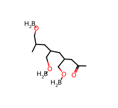 BOCC(C)CC(COB)CC(COB)CC(C)=O